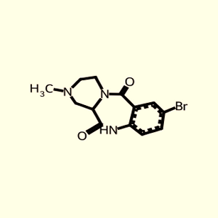 CN1CCN2C(=O)c3cc(Br)ccc3NC(=O)C2C1